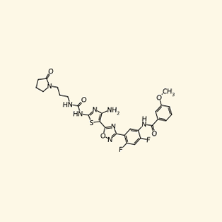 COc1cccc(C(=O)Nc2cc(-c3noc(-c4sc(NC(=O)NCCCN5CCCC5=O)nc4N)n3)c(F)cc2F)c1